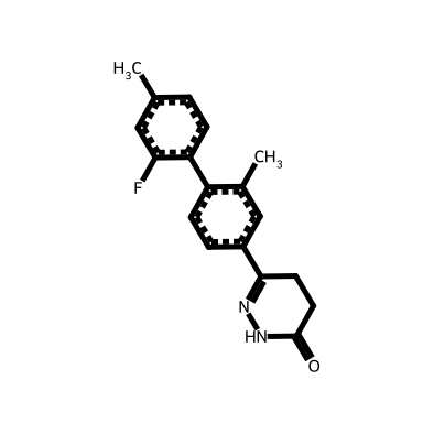 Cc1ccc(-c2ccc(C3=NNC(=O)CC3)cc2C)c(F)c1